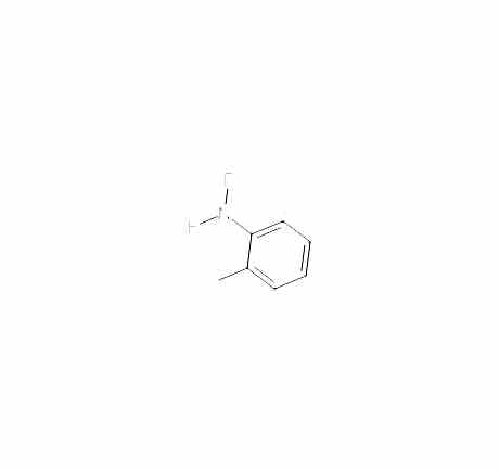 FN(F)c1ccccc1I